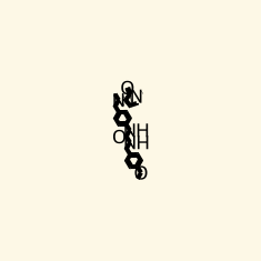 COc1ccc(CNC(=O)Nc2ccc(CN(C)[C@H]3CCN(C)C3=O)cc2)cc1